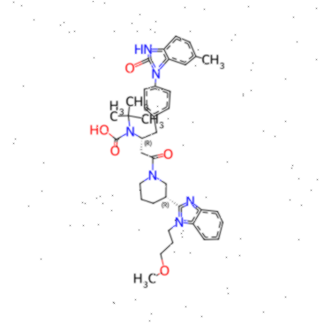 COCCCn1c([C@@H]2CCCN(C(=O)C[C@@H](Cc3ccc(-n4c(=O)[nH]c5ccc(C)cc54)cc3)N(C(=O)O)C(C)(C)C)C2)nc2ccccc21